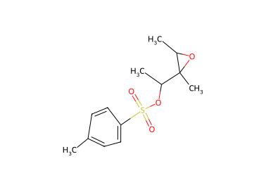 Cc1ccc(S(=O)(=O)OC(C)C2(C)OC2C)cc1